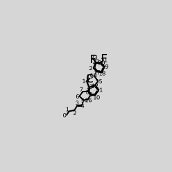 CCCC=C[C@H]1CCc2c(ccc3c2CC[C@H](c2ccc(F)c(F)c2)C3)C1